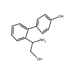 NC(CO)c1ccccc1-c1ccc(O)cc1